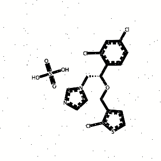 Clc1ccc([C@@H](Cn2ccnc2)OCc2ccsc2Cl)c(Cl)c1.O=S(=O)(O)O